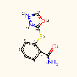 NC(=O)c1ccccc1Sc1nnco1